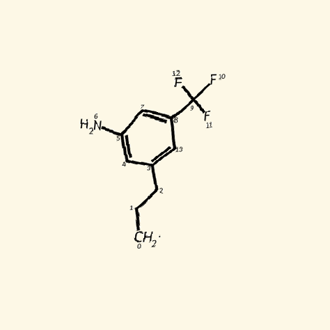 [CH2]CCc1cc(N)cc(C(F)(F)F)c1